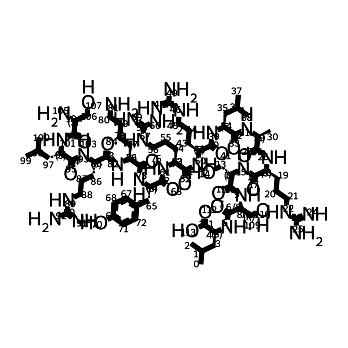 CC(C)C[C@H](NC(=O)[C@@H](NC(=O)[C@H](CO)NC(=O)[C@H](CCCNC(=N)N)NC(=O)[C@H](C)NC(=O)[C@H](CC(C)C)NC(=O)[C@H](CCCNC(=N)N)NC(=O)[C@H](CCCNC(=N)N)NC(=O)[C@H](Cc1ccc(O)cc1)NC(=O)[C@H](CCCCN)NC(=O)[C@H](CCCNC(=N)N)NC(=O)[C@H](CC(C)C)NC(=O)[C@@H](N)CO)[C@@H](C)O)C(=O)O